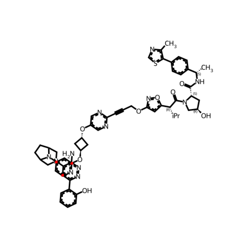 Cc1ncsc1-c1ccc([C@H](C)NC(=O)[C@@H]2C[C@@H](O)CN2C(=O)[C@@H](c2cc(OCC#Cc3ncc(O[C@H]4C[C@H](Oc5cc(N6C7CCC6CN(c6cc(-c8ccccc8O)nnc6N)C7)ccn5)C4)cn3)no2)C(C)C)cc1